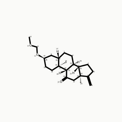 C=C1CC[C@H]2[C@@H]3CC[C@H]4C[C@H](OCOC)CC[C@]4(C)[C@H]3C(=O)C[C@]12C